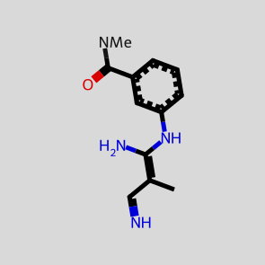 CNC(=O)c1cccc(N/C(N)=C(\C)C=N)c1